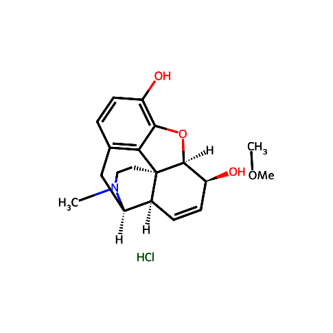 CN1CC[C@]23c4c5ccc(O)c4O[C@H]2[C@@H](O)C=C[C@H]3[C@H]1C5.COC.Cl